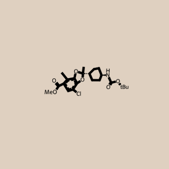 COC(=O)c1cc(Cl)c2c(c1C)OC(C)([C@H]1CC[C@H](NC(=O)OC(C)(C)C)CC1)O2